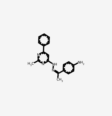 CC(=NNc1cc(-c2ccccc2)nc(C)n1)c1ccc(N)cc1